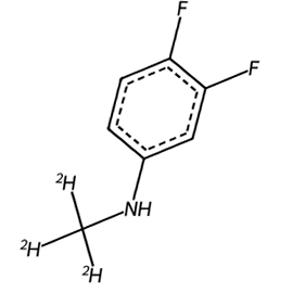 [2H]C([2H])([2H])Nc1ccc(F)c(F)c1